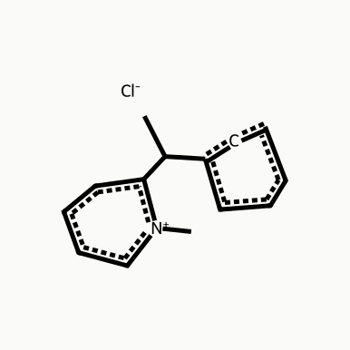 CC(c1ccccc1)c1cccc[n+]1C.[Cl-]